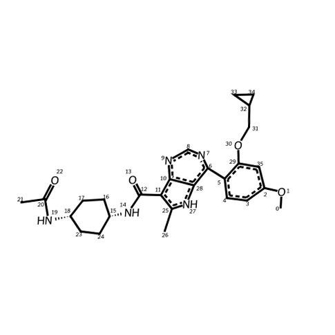 COc1ccc(-c2ncnc3c(C(=O)N[C@H]4CC[C@@H](NC(C)=O)CC4)c(C)[nH]c23)c(OCC2CC2)c1